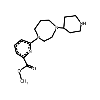 COC(=O)c1cccc(N2CCCN(C3CCNCC3)CC2)n1